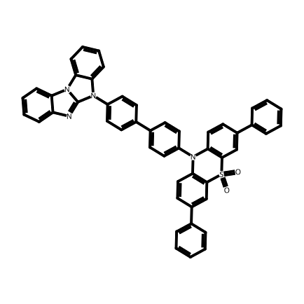 O=S1(=O)c2cc(-c3ccccc3)ccc2N(c2ccc(-c3ccc(-n4c5ccccc5n5c6ccccc6nc45)cc3)cc2)c2ccc(-c3ccccc3)cc21